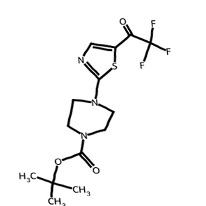 CC(C)(C)OC(=O)N1CCN(c2ncc(C(=O)C(F)(F)F)s2)CC1